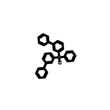 Cl[Si](c1ccccc1)(c1cccc(-c2ccccc2)c1)c1cccc(-c2ccccc2)c1